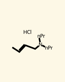 CC=CCN(CCC)CCC.Cl